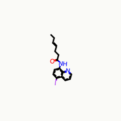 CCC=CCCC(=O)Nc1ccc(I)c2cccnc12